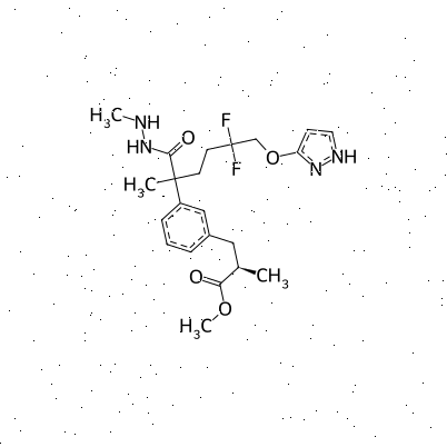 CNNC(=O)C(C)(CCC(F)(F)COc1cc[nH]n1)c1cccc(C[C@@H](C)C(=O)OC)c1